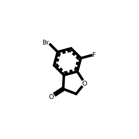 O=C1COc2c(F)cc(Br)cc21